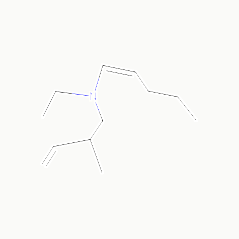 C=CC(C)CN(/C=C\CCC)CC